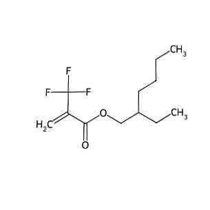 C=C(C(=O)OCC(CC)CCCC)C(F)(F)F